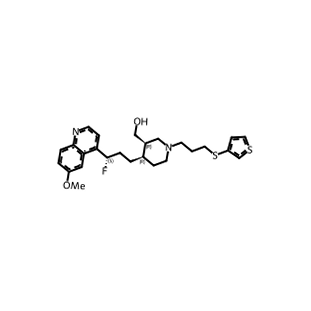 COc1ccc2nccc([C@@H](F)CC[C@@H]3CCN(CCCSc4ccsc4)C[C@@H]3CO)c2c1